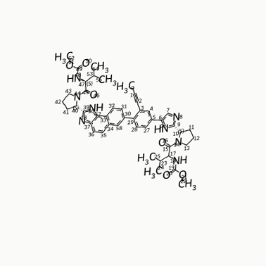 CC#Cc1cc(-c2cnc([C@@H]3CCCN3C(=O)C(NC(=O)OC)C(C)C)[nH]2)ccc1-c1ccc2c(ccc3nc([C@@H]4CCCN4C(=O)[C@@H](NC(=O)OC)C(C)C)[nH]c32)c1